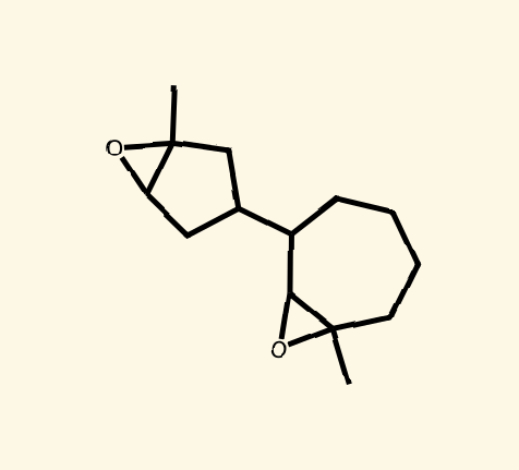 CC12CC(C3CCCCC4(C)OC34)CC1O2